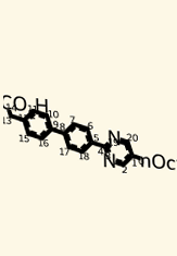 CCCCCCCCc1cnc(-c2ccc(-c3ccc(CC(=O)O)cc3)cc2)nc1